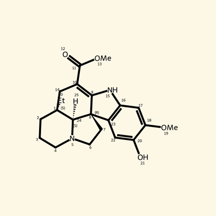 CC[C@]12CCCN3CC[C@]4(C(=C(C(=O)OC)C1)Nc1cc(OC)c(O)cc14)[C@@H]32